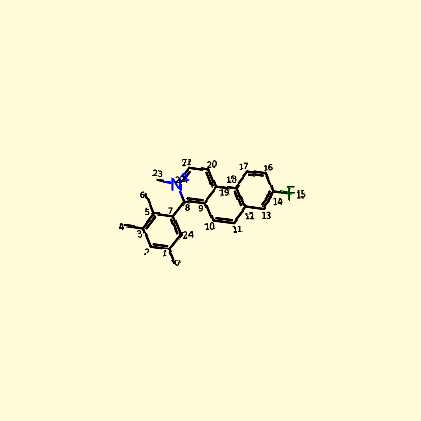 Cc1cc(C)c(C)c(-c2c3ccc4cc(F)ccc4c3cc[n+]2C)c1